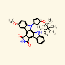 COc1ccc2c(c1)c1c3c(c4c5ccccc5[nH]c4c1n2C1C=C[C@@H](O[Si](C)(C)C(C)(C)C)C1)C(=O)NC3=O